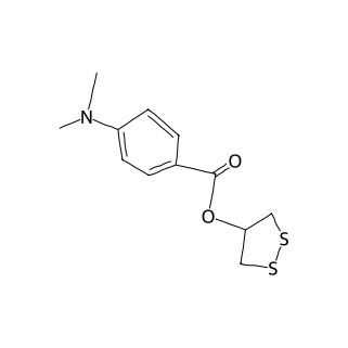 CN(C)c1ccc(C(=O)OC2CSSC2)cc1